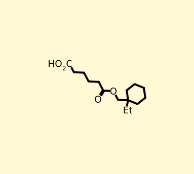 CCC1(COC(=O)CCCCC(=O)O)CCCCC1